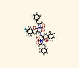 O=C1OC[C@H](Cc2ccccc2)N1C(=O)[C@H](/C=C/[C@H](Cc1ccc(F)cc1)C(=O)N1C(=O)OC[C@@H]1Cc1ccccc1)Cc1ccccc1